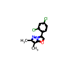 Cc1nn2c(-c3ccc(Cl)cc3Cl)coc2c1C